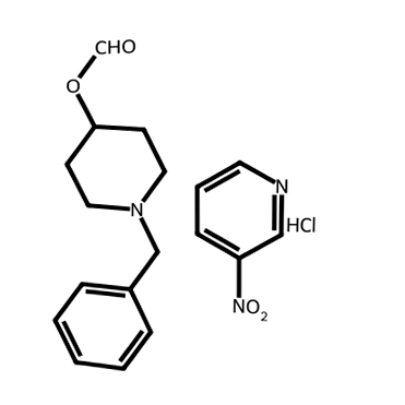 Cl.O=COC1CCN(Cc2ccccc2)CC1.O=[N+]([O-])c1cccnc1